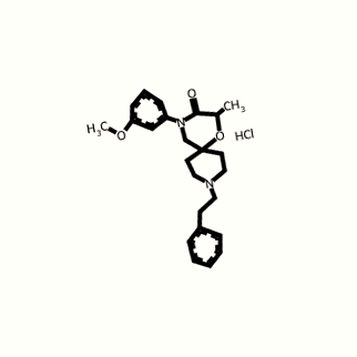 COc1cccc(N2CC3(CCN(CCc4ccccc4)CC3)OC(C)C2=O)c1.Cl